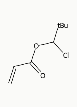 C=CC(=O)OC(Cl)C(C)(C)C